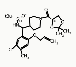 C=CCOc1cc(C)c(Cl)cc1C(N[S@@+]([O-])C(C)(C)C)C1CCN(C(=O)[C@H]2COC(C)(C)O2)CC1